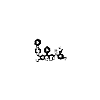 O=C(Cc1c(-c2ccccc2)c2cc(CN3CCN(c4ccccc4)CC3)c(Cl)cc2oc1=O)Nc1ccc(F)cc1C(F)(F)F